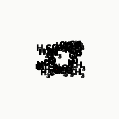 CC(C)C[C@H]1CO[C@H](C)C(=O)N(C)[C@@H](CC(C)C)C(=O)O[C@H](Cc2cccc(Cn3cccn3)c2)C(=O)N(C)[C@@H](CC(C)C)C(=O)O[C@H](C)C(=O)N(C)[C@@H](CC(C)C)C(=O)O[C@H](Cc2ccc(Cn3cccn3)cc2)C(=O)N1C